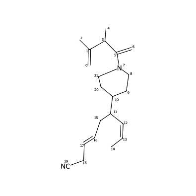 C=C(C)C(C)C(=C)N1CCC(C(/C=C\C)C/C=C/CC#N)CC1